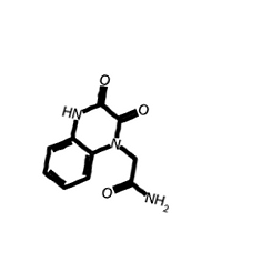 NC(=O)Cn1c(=O)c(=O)[nH]c2ccccc21